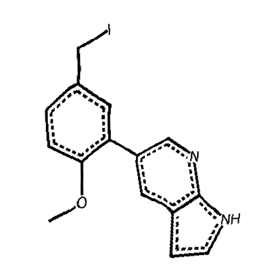 COc1ccc(CI)cc1-c1cnc2[nH]ccc2c1